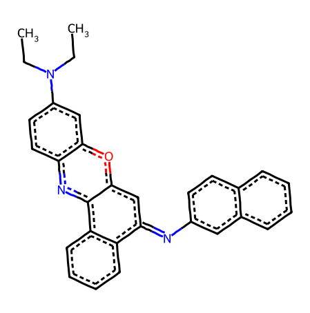 CCN(CC)c1ccc2nc3c4ccccc4c(=Nc4ccc5ccccc5c4)cc-3oc2c1